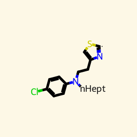 CCCCCCCN(CCc1cs[c]n1)c1ccc(Cl)cc1